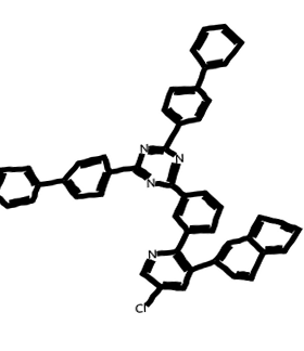 Clc1cnc(-c2cccc(-c3nc(-c4ccc(-c5ccccc5)cc4)nc(-c4ccc(-c5ccccc5)cc4)n3)c2)c(-c2ccc3ccccc3c2)c1